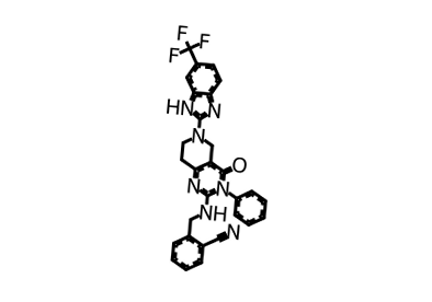 N#Cc1ccccc1CNc1nc2c(c(=O)n1-c1ccccc1)CN(c1nc3ccc(C(F)(F)F)cc3[nH]1)CC2